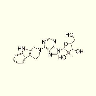 C[C@@]1(O)C(O)C(CO)OC1n1cnc2c(N3CCc4c([nH]c5ccccc45)C3)ncnc21